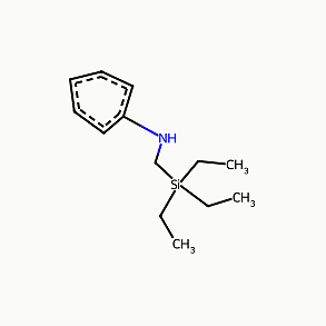 CC[Si](CC)(CC)CNc1ccccc1